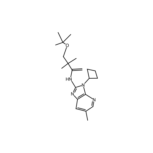 C=C(Nc1nc2cc(C)cnc2n1C1CCC1)C(C)(C)COC(C)(C)C